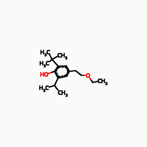 CCOCCc1cc(C(C)C)c(O)c(C(C)(C)C)c1